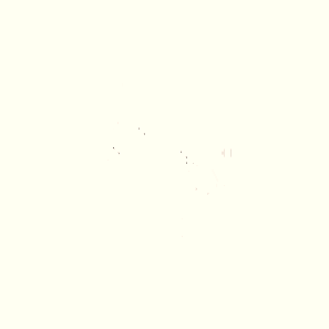 CC(C)(C)OC(=O)[C@](N)(CCCC(N)NC(=O)CBr)C(=O)O